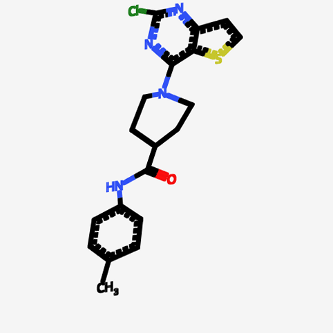 Cc1ccc(NC(=O)C2CCN(c3nc(Cl)nc4ccsc34)CC2)cc1